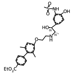 CCOC(=O)c1ccc(-c2c(C)cc(OCCN[C@@H](C)[C@@H](O)c3ccc(O)c(NS(C)(=O)=O)c3)cc2C)cc1